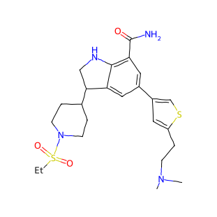 CCS(=O)(=O)N1CCC(C2CNc3c(C(N)=O)cc(-c4csc(CCN(C)C)c4)cc32)CC1